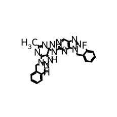 CC1=NC(N)(Nc2ncc3nnn(Cc4ccccc4F)c3n2)C2=NNN(Cc3ccccc3F)C2=N1